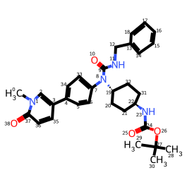 Cn1cc(-c2ccc(N(C(=O)NCc3ccccc3)[C@H]3CC[C@H](NC(=O)OC(C)(C)C)CC3)cc2)ccc1=O